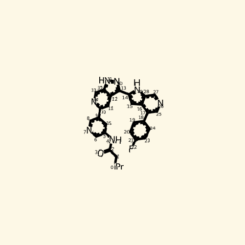 CC(C)CC(=O)Nc1cncc(-c2cc3c(-c4cc5c(-c6ccc(F)cc6)cncc5[nH]4)n[nH]c3cn2)c1